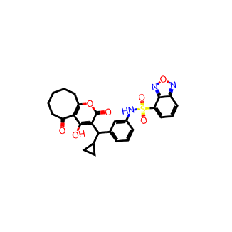 O=C1CCCCCc2oc(=O)c(C(c3cccc(NS(=O)(=O)c4cccc5nonc45)c3)C3CC3)c(O)c21